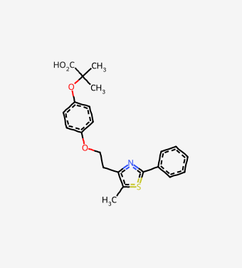 Cc1sc(-c2ccccc2)nc1CCOc1ccc(OC(C)(C)C(=O)O)cc1